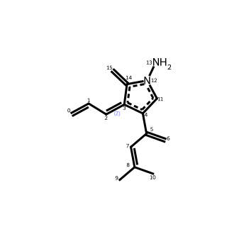 C=C/C=c1/c(C(=C)C=C(C)C)cn(N)c1=C